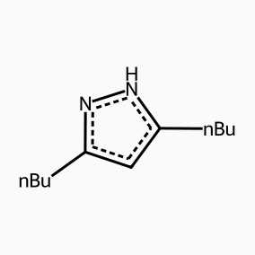 CCCCc1cc(CCCC)[nH]n1